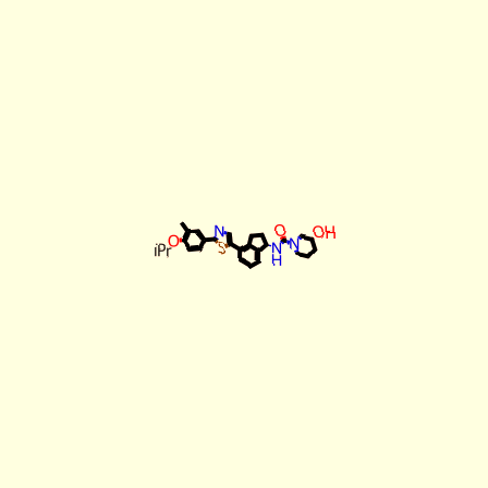 Cc1cc(-c2ncc(-c3cccc4c3CC[C@@H]4NC(=O)N3CCC[C@H](O)C3)s2)ccc1OC(C)C